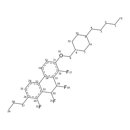 CCCCCC1CCC(COc2ccc3c(c2F)C(F)C(F)c2c-3ccc(CCC)c2F)CC1